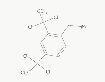 CC(C)[CH]c1ccc(C(Cl)(Cl)C(Cl)(Cl)Cl)cc1C(Cl)(Cl)C(Cl)(Cl)Cl